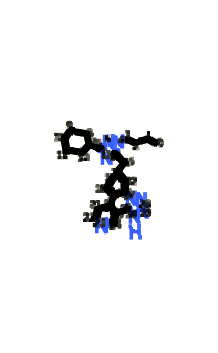 CCCCn1nc(C2CCCCC2)nc1Cc1ccc(-c2ccncc2-c2nnn[nH]2)cc1